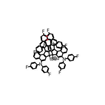 CC(C)(C)C1(C2(C(C)(C)C)c3cc(N(c4ccc(F)cc4)c4ccc(F)cc4)c4ccccc4c3-c3c2cc(N(c2ccc(F)cc2)c2ccc(F)cc2)c2ccccc32)c2cc(N(c3ccc(F)cc3)c3ccc(F)cc3)c3ccccc3c2-c2c1cc(N(c1ccc(F)cc1)c1ccc(F)cc1)c1ccccc21